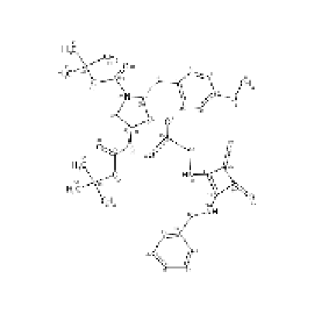 COc1ccc(C[C@@H]2[C@H](OC(=O)CNc3c(NCc4ccccc4)c(=O)c3=O)[C@@H](OC(=O)OC(C)(C)C)CN2C(=O)OC(C)(C)C)cc1